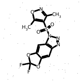 Cc1noc(C)c1S(=O)(=O)n1nnc2cc3c(cc21)OC(F)(F)O3